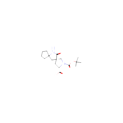 CC(C)(C)OC(=O)N1C[C@@]2(C[C@H]1C(=O)O)CC1(CCCC1)NC2=O